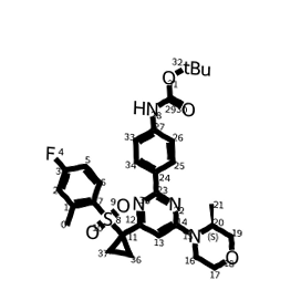 Cc1cc(F)ccc1S(=O)(=O)C1(c2cc(N3CCOC[C@@H]3C)nc(-c3ccc(NC(=O)OC(C)(C)C)cc3)n2)CC1